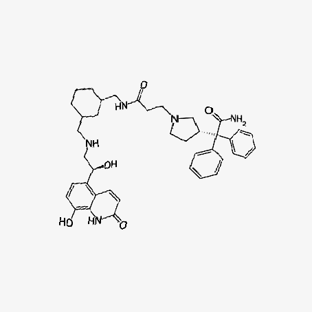 NC(=O)C(c1ccccc1)(c1ccccc1)[C@@H]1CCN(CCC(=O)NCC2CCCC(CNC[C@@H](O)c3ccc(O)c4[nH]c(=O)ccc34)C2)C1